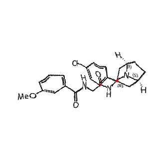 COc1cccc(C(=O)NCC(=O)N[C@H]2C[C@H]3CC[C@@H](C2)N3Cc2ccc(Cl)cc2)c1